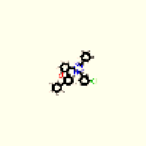 Clc1cccc(-c2nc(-c3ccccc3)nc(-c3cccc4oc5c(-c6ccccc6)cccc5c34)n2)c1